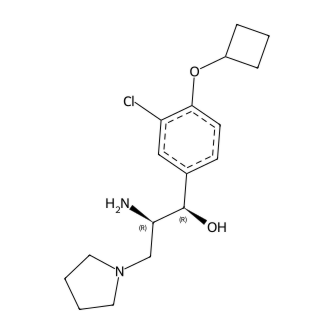 N[C@H](CN1CCCC1)[C@H](O)c1ccc(OC2CCC2)c(Cl)c1